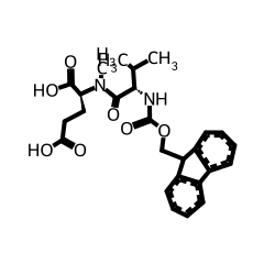 CC(C)[C@H](NC(=O)OCC1c2ccccc2-c2ccccc21)C(=O)N(C)[C@@H](CCC(=O)O)C(=O)O